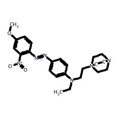 CCN(CC[N+]12CCN(CC1)CC2)c1ccc(/N=N/c2ccc(OC)cc2[N+](=O)[O-])cc1